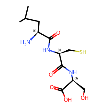 CC(C)C[C@H](N)C(=O)N[C@@H](CS)C(=O)N[C@@H](CO)C(=O)O